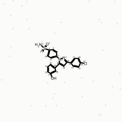 NS(=O)(=O)c1ccc(-n2nc(-c3ccc(Cl)cc3)cc2-c2cccc(O)c2)cc1